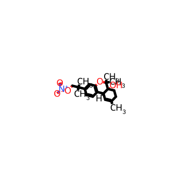 CC1=C[C@@H]2c3ccc(C(C)(C)CO[N+](=O)[O-])cc3OC(C)(C)[C@@]2(O)CC1